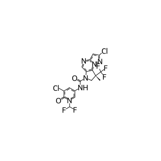 C[C@@]1(C(F)(F)F)CN(C(=O)Nc2cc(Cl)c(=O)n(C(F)F)c2)c2cnc3cc(Cl)nn3c21